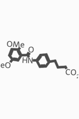 COc1ccc(OC)c(C(=O)Nc2ccc(CCCC(=O)O)cc2)c1